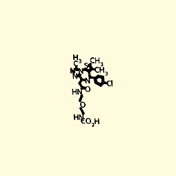 Cc1sc2c(c1C)C(c1ccc(Cl)cc1)=NC(CC(=O)NCCOCCNC(=O)O)c1nnc(C)n1-2